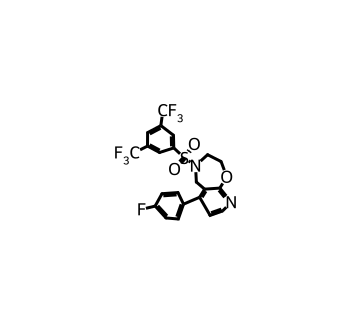 O=S(=O)(c1cc(C(F)(F)F)cc(C(F)(F)F)c1)N1CCOc2nccc(-c3ccc(F)cc3)c2C1